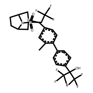 Cc1cc(CN2CC3CCC(C2)N3S(=O)(=O)CC(F)(F)F)ccc1-c1ccc(C(O)(C(F)(F)F)C(F)(F)F)cc1